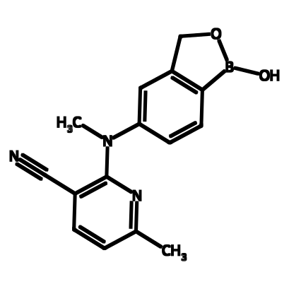 Cc1ccc(C#N)c(N(C)c2ccc3c(c2)COB3O)n1